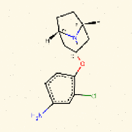 CN1[C@@H]2CC[C@H]1C[C@@H](Oc1ccc(N)cc1Cl)C2